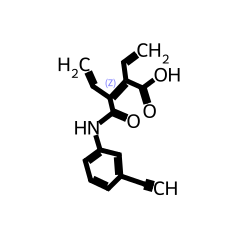 C#Cc1cccc(NC(=O)/C(C=C)=C(/C=C)C(=O)O)c1